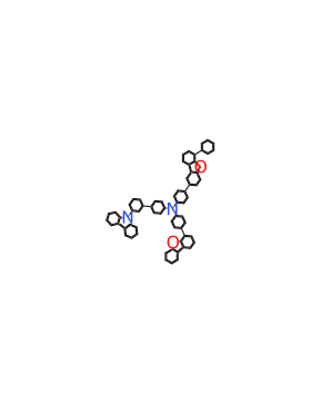 c1ccc(-c2cccc3c2oc2ccc(-c4ccc(N(c5ccc(-c6cccc(-n7c8ccccc8c8ccccc87)c6)cc5)c5ccc(-c6cccc7c6oc6ccccc67)cc5)cc4)cc23)cc1